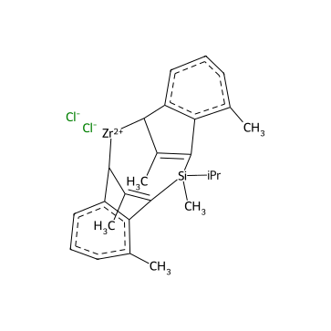 CC1=C2c3c(C)cccc3[CH]1[Zr+2][CH]1C(C)=C(c3c(C)cccc31)[Si]2(C)C(C)C.[Cl-].[Cl-]